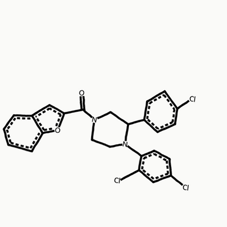 O=C(c1cc2ccccc2o1)N1CCN(c2ccc(Cl)cc2Cl)C(c2ccc(Cl)cc2)C1